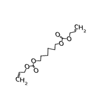 C=CCOC(=O)OCCCCCCOC(=O)OCC=C